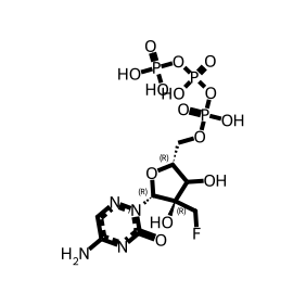 Nc1cnn([C@@H]2O[C@H](COP(=O)(O)OP(=O)(O)OP(=O)(O)O)C(O)[C@]2(O)CF)c(=O)n1